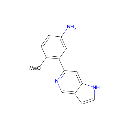 COc1ccc(N)cc1-c1cc2[nH]ccc2cn1